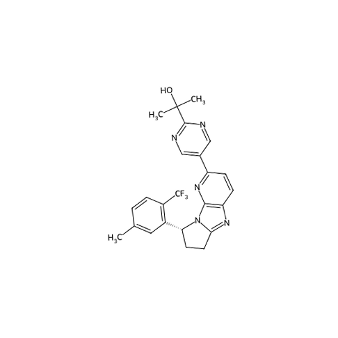 Cc1ccc(C(F)(F)F)c([C@H]2CCc3nc4ccc(-c5cnc(C(C)(C)O)nc5)nc4n32)c1